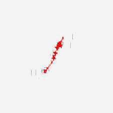 C=CC(=O)OCCCCCCCCCCCOc1ccc(C(=O)Oc2ccc(OCc3ccc(OC(CCCCCCCCCC)OC(=O)C=C)cc3)cc2)cc1